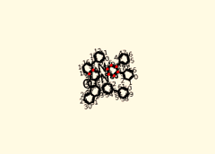 c1ccc(-c2ccc(N(c3ccccc3-c3ccccc3)c3ccc4oc5c6ccccc6ccc5c4c3N(c3ccc(-c4ccccc4)cc3)c3cccc(-c4ccccc4)c3)cc2)cc1